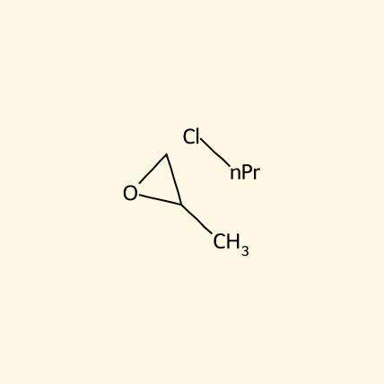 CC1CO1.CCCCl